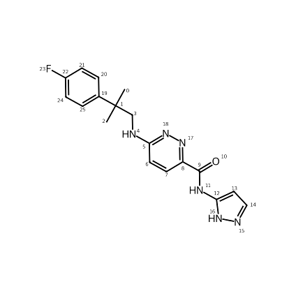 CC(C)(CNc1ccc(C(=O)Nc2ccn[nH]2)nn1)c1ccc(F)cc1